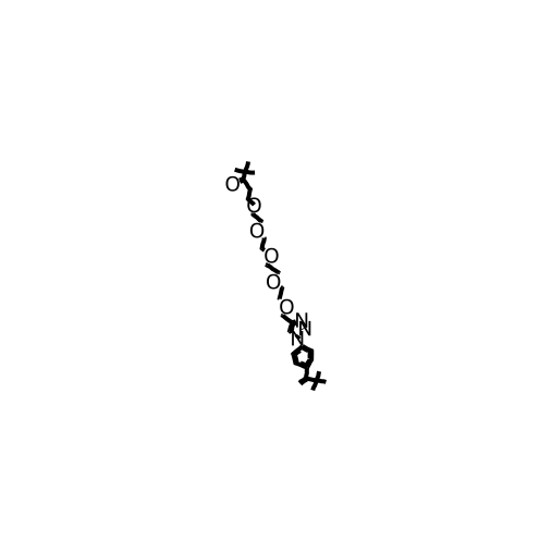 C=C(c1ccc(-n2cc(COCCOCCOCCOCCOCCC(=O)C(C)(C)C)nn2)cc1)C(C)(C)C